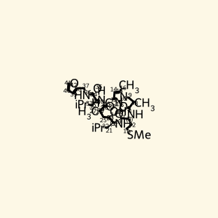 CSCC[C@H](NC(=O)C(C)Cn1nc(C)cc1C)C(=O)N[C@@H](CC(C)C)[C@@H](O)C[C@@H](C)C(=O)N[C@@H](CC(C)C)C(=O)NCc1ccco1